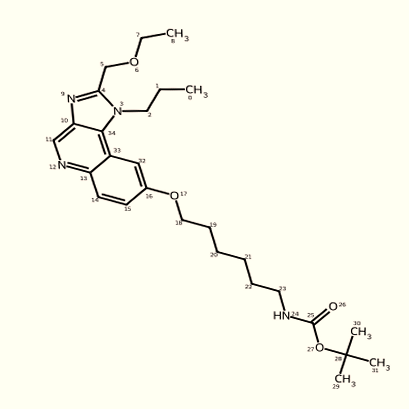 CCCn1c(COCC)nc2cnc3ccc(OCCCCCCNC(=O)OC(C)(C)C)cc3c21